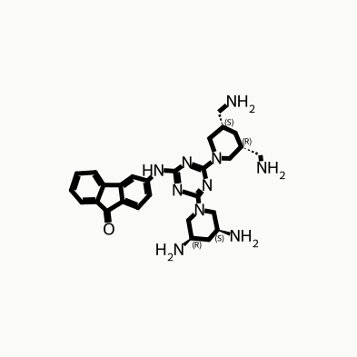 NC[C@@H]1C[C@H](CN)CN(c2nc(Nc3ccc4c(c3)-c3ccccc3C4=O)nc(N3C[C@H](N)C[C@H](N)C3)n2)C1